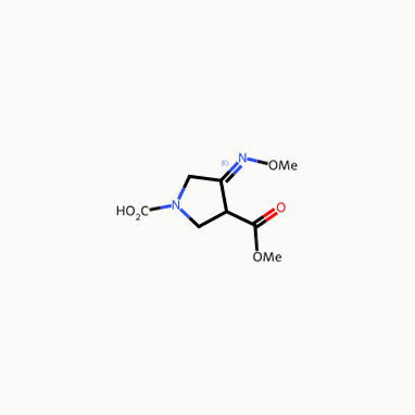 CO/N=C1/CN(C(=O)O)CC1C(=O)OC